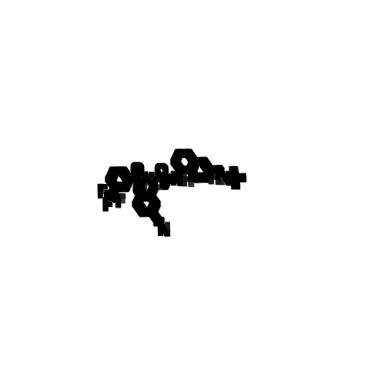 CC(C)(C)NCc1ccc2c(c1)CCC[C@H]2NC(=O)C[C@@H](NS(=O)(=O)c1cccc(C(F)(F)F)c1)c1cccc(C#N)c1